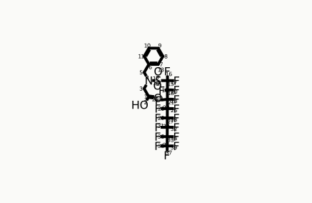 O=C(O)CN(Cc1ccccc1)S(=O)(=O)C(F)(F)C(F)(F)C(F)(F)C(F)(F)C(F)(F)C(F)(F)C(F)(F)C(F)(F)F